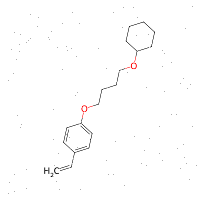 C=Cc1ccc(OCCCCOC2CCCCC2)cc1